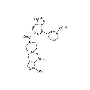 CC(C)n1ncc2c1C(=O)CC1(CCN(C(=O)c3cc(-c4cccc(C(=O)O)c4)c4cc[nH]c4c3)CC1)C2